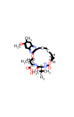 COC1=Cc2nc3c(nc2CC1C)CCCCC[C@@H]1C[C@H]1OC(=O)N[C@@H](C(C)(C)C)C(=O)N1C[C@H](O3)[C@@H](C)[C@H]1C(=O)O